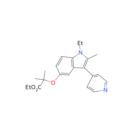 CCOC(=O)C(C)(C)Oc1ccc2c(c1)c(-c1ccncc1)c(C)n2CC